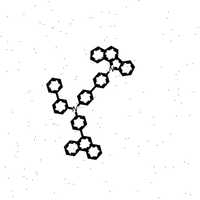 c1ccc(-c2cccc(N(c3ccc(-c4ccc(-n5c6ccccc6c6ccc7ccccc7c65)cc4)cc3)c3ccc(-c4cc5ccccc5c5ccccc45)cc3)c2)cc1